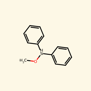 [CH2]O[SiH](c1ccccc1)c1ccccc1